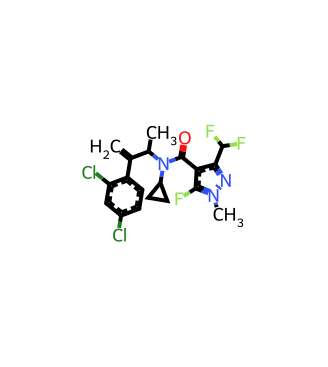 C=C(c1ccc(Cl)cc1Cl)C(C)N(C(=O)c1c(C(F)F)nn(C)c1F)C1CC1